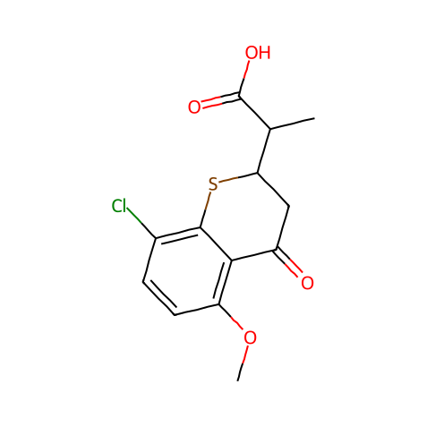 COc1ccc(Cl)c2c1C(=O)CC(C(C)C(=O)O)S2